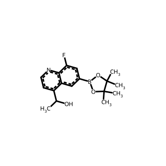 CC(O)c1ccnc2c(F)cc(B3OC(C)(C)C(C)(C)O3)cc12